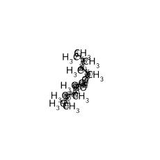 CC(C)CCC[C@@H](C)CCC[C@@H](C)CCC[C@H](C)CCOC[C@@H](CO)OCC[C@@H](C)CCC[C@H](C)CCC[C@H](C)CCCC(C)C